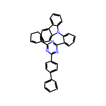 C1=CC(c2nc(-c3ccc(-c4ccccc4)cc3)nc(-c3ccccc3-n3c4ccccc4c4ccccc43)n2)=CCC1